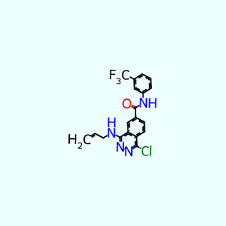 C=CCNc1nnc(Cl)c2ccc(C(=O)Nc3cccc(C(F)(F)F)c3)cc12